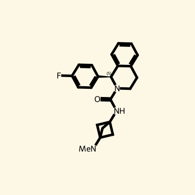 CNC12CC(NC(=O)N3CCc4ccccc4[C@@H]3c3ccc(F)cc3)(C1)C2